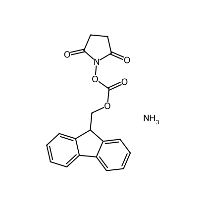 N.O=C(OCC1c2ccccc2-c2ccccc21)ON1C(=O)CCC1=O